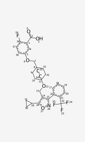 O=C(O)c1cc(OCC23CCC(OCc4c(-c5ccccc5C(F)(F)F)noc4C4CC4)(CC2)CC3)ccc1F